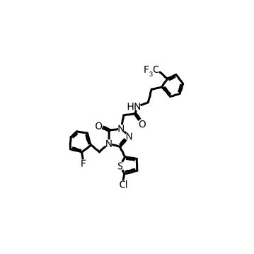 O=C(Cn1nc(-c2ccc(Cl)s2)n(Cc2ccccc2F)c1=O)NCCc1ccccc1C(F)(F)F